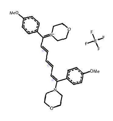 COc1ccc(C(/C=C/C=C/C=C(\c2ccc(OC)cc2)N2CCOCC2)=[N+]2CCOCC2)cc1.F[B-](F)(F)F